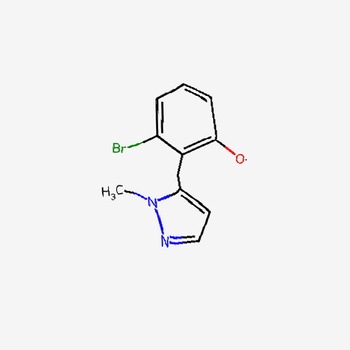 Cn1nccc1-c1c([O])cccc1Br